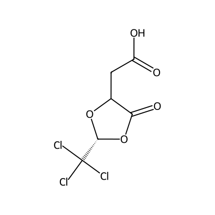 O=C(O)CC1O[C@@H](C(Cl)(Cl)Cl)OC1=O